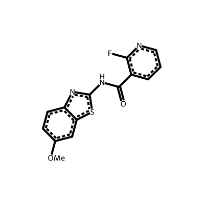 COc1ccc2nc(NC(=O)c3cccnc3F)sc2c1